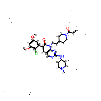 C=CC(=O)N1CCC(CCn2c(=O)c(-c3cc(OC)cc(OC)c3Cl)cc3cnc(NC4CCN(C)CC4)nc32)CC1